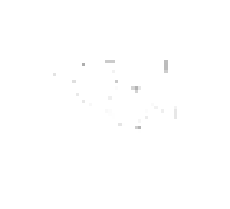 [2H]c1c([2H])c([2H])c(CC(C)N)c([2H])c1[2H]